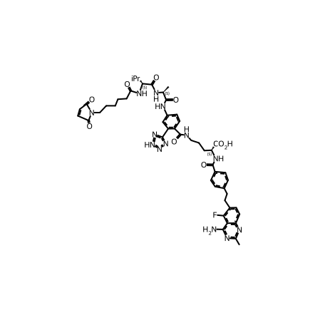 Cc1nc(N)c2c(F)c(CCc3ccc(C(=O)N[C@@H](CCCNC(=O)c4ccc(NC(=O)[C@H](C)NC(=O)[C@@H](NC(=O)CCCCCN5C(=O)C=CC5=O)C(C)C)cc4-c4nn[nH]n4)C(=O)O)cc3)ccc2n1